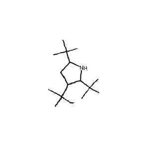 CC(C)(C)C1CC(C(C)(C)C)C(C(C)(C)C)N1